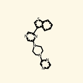 c1ccc2c(-c3cncc(N4CCN(c5cnccn5)CC4)n3)csc2c1